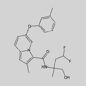 Cc1cccc(Oc2ccc3cc(C)c(C(=O)NC(C)(CO)CC(F)F)n3c2)c1